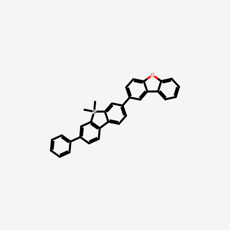 C[Si]1(C)c2cc(-c3ccccc3)ccc2-c2ccc(-c3ccc4oc5ccccc5c4c3)cc21